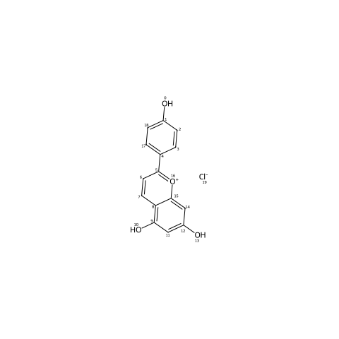 Oc1ccc(-c2ccc3c(O)cc(O)cc3[o+]2)cc1.[Cl-]